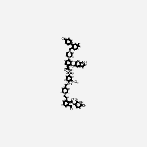 CC1(C)CCC(CN2CCN(c3ccc(C(=O)NS(=O)(=O)c4ccc(NCC5CCN(CCc6cccc7c6C(=O)N(C6CCC(=O)NC6=O)C7=O)CC5)c([N+](=O)[O-])c4)c(Oc4cnc5[nH]ccc5c4)c3)CC2)=C(c2ccc(Cl)cc2)C1